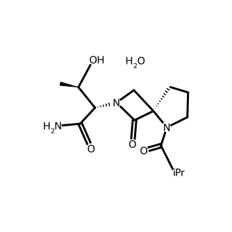 CC(C)C(=O)N1CCC[C@]12CN([C@H](C(N)=O)[C@@H](C)O)C2=O.O